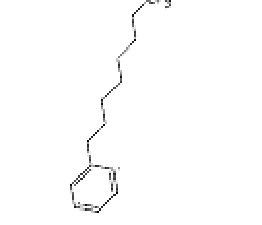 FC(F)(F)CCCCCCCc1[c]cccc1